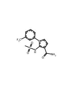 CS(=O)(=O)Nc1c(C(N)=O)ccn1-c1cccc(C(F)(F)F)c1